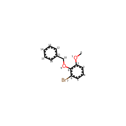 COc1cccc(Br)c1OCc1ccccc1